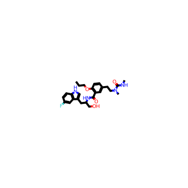 CCCOc1ccc(CCN(C)C(=O)NC)cc1C(=O)NC(CO)Cc1c[nH]c2ccc(F)cc12